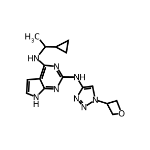 CC(Nc1nc(Nc2cn(C3COC3)nn2)nc2[nH]ccc12)C1CC1